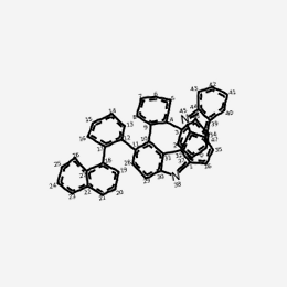 c1ccc(-c2ccccc2-c2c(-c3ccccc3-c3cccc4ccccc34)ccc3c2-c2c4c(ccc2=N3)=c2ccccc2=N4)cc1